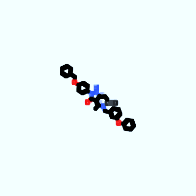 C/C=c1/[nH]n(-c2ccc(OCc3ccccc3)cc2)c(=O)/c1=C(\C)N(C=O)Cc1cccc(Oc2ccccc2)c1